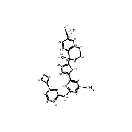 Cc1cc(Nc2cc(C3CCC3)ccn2)nc(-c2cnc([C@@]3(O)CCCc4cc(C(=O)O)ccc43)s2)c1